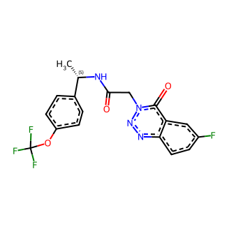 C[C@H](NC(=O)Cn1nnc2ccc(F)cc2c1=O)c1ccc(OC(F)(F)F)cc1